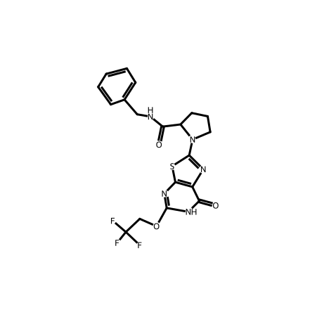 O=C(NCc1ccccc1)C1CCCN1c1nc2c(=O)[nH]c(OCC(F)(F)F)nc2s1